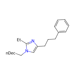 CCCCCCCCCCCn1cc(CCCc2ccccc2)nc1CC